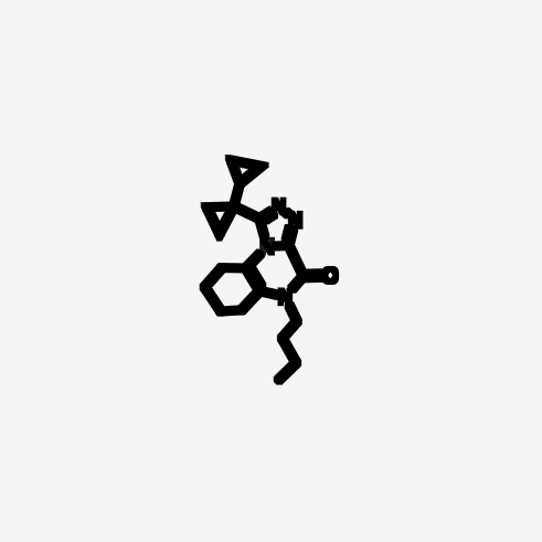 CCCCn1c2c(n3c(C4(C5CC5)CC4)nnc3c1=O)CCCC2